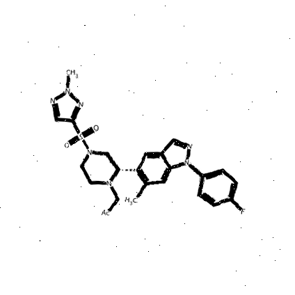 CC(=O)CN1CCN(S(=O)(=O)c2cnn(C)n2)C[C@@H]1c1cc2cnn(-c3ccc(F)cc3)c2cc1C